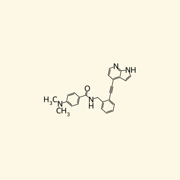 CN(C)c1ccc(C(=O)NCc2ccccc2C#Cc2ccnc3[nH]ccc23)cc1